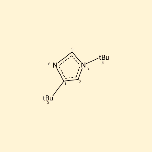 CC(C)(C)c1cn(C(C)(C)C)cn1